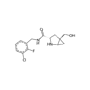 O=C(NCc1cccc(Cl)c1F)[C@@H]1CC2(CO)CC2N1